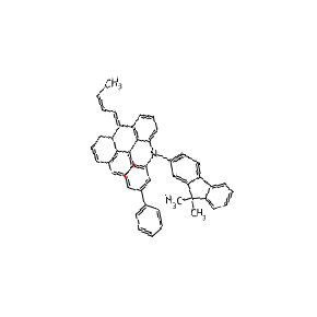 C/C=C\C=C1\c2cccc(N(c3cccc(-c4ccccc4)c3)c3ccc4c(c3)C(C)(C)c3ccccc3-4)c2-c2cccc3c2C1CC=C3